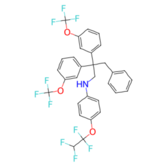 FC(F)C(F)(F)Oc1ccc(NCC(Cc2ccccc2)(c2cccc(OC(F)(F)F)c2)c2cccc(OC(F)(F)F)c2)cc1